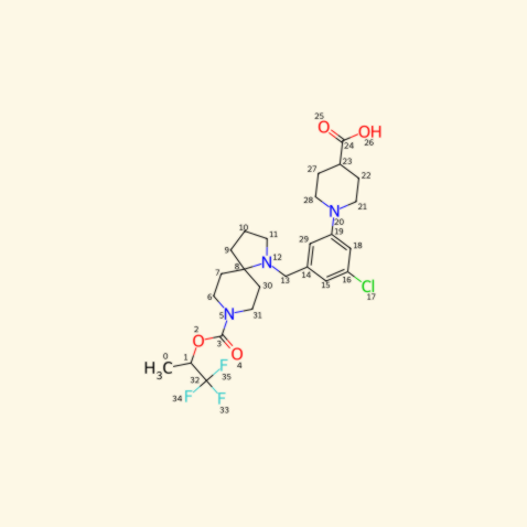 CC(OC(=O)N1CCC2(CCCN2Cc2cc(Cl)cc(N3CCC(C(=O)O)CC3)c2)CC1)C(F)(F)F